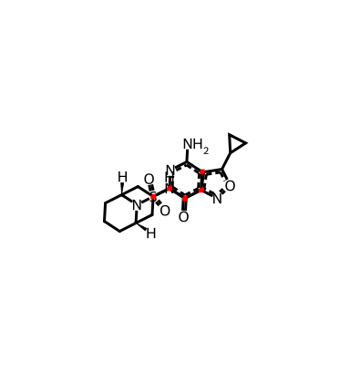 Nc1cccc(S(=O)(=O)N2[C@@H]3CCC[C@H]2CC(NC(=O)c2cc(C4CC4)on2)C3)n1